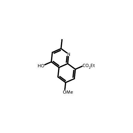 CCOC(=O)c1cc(OC)cc2c(O)cc(C)nc12